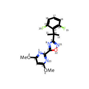 COc1cc(OC)nc(-c2nc(C(C)(C)c3c(F)cccc3F)no2)n1